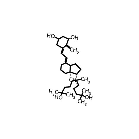 C=C1/C(=C\C=C2/CCC[C@@]3(C)C2CC[C@@H]3C(C)(CCCC(C)(C)O)CCCC(C)(C)O)CC(O)C[C@@H]1O